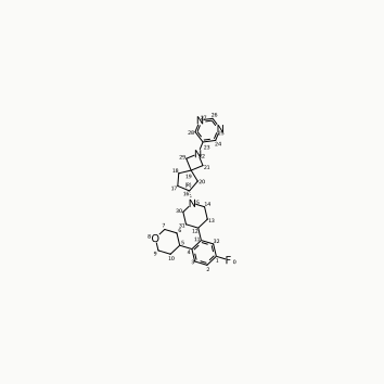 Fc1ccc(C2CCOCC2)c(C2CCN([C@@H]3CCC4(C3)CN(c3cncnc3)C4)CC2)c1